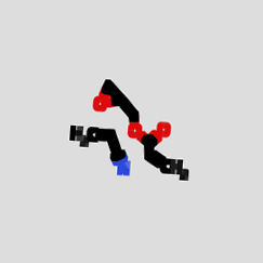 C=CC#N.C=CC(=O)OCC1CO1